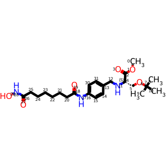 COC(=O)[C@H](COC(C)(C)C)NCc1ccc(NC(=O)CCCCCCC(=O)NO)cc1